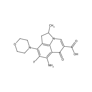 CC1Cc2c(N3CCOCC3)c(F)c(N)c3c(=O)c(C(=O)O)cn1c23